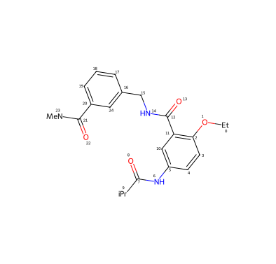 CCOc1ccc(NC(=O)C(C)C)cc1C(=O)NCc1cccc(C(=O)NC)c1